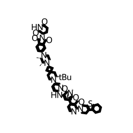 C[C@@H]1[C@H](C)N(c2ccc3c(c2)C(=O)N(C2CCC(=O)NC2=O)C3=O)CCN1C1CC2(CCN(c3ccc(Nc4cc(-c5ccnc(N6CCc7c(sc8c7CCCC8)C6=O)c5CO)cn(C)c4=O)nc3)[C@@H](C(C)(C)C)C2)C1